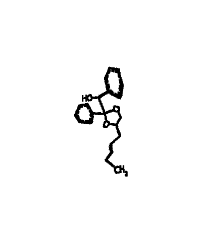 CCCCCC1COC(c2ccccc2)(C(O)c2ccccc2)O1